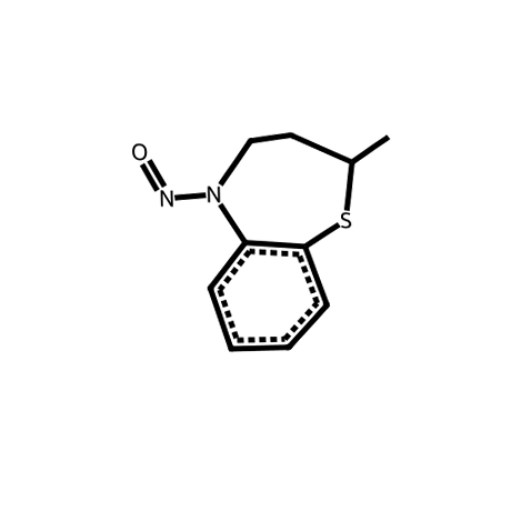 CC1CCN(N=O)c2ccccc2S1